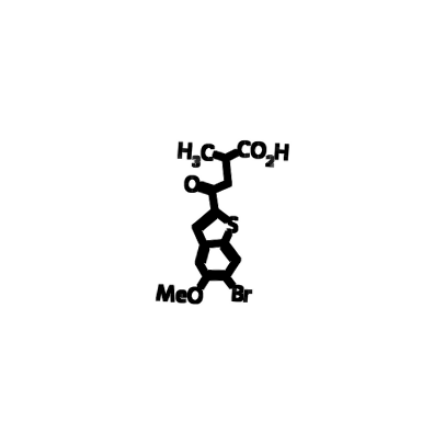 COc1cc2cc(C(=O)CC(C)C(=O)O)sc2cc1Br